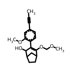 CC#Cc1ccc(C2=C(OCOC)C3CCC(C3)C2O)c(OC)c1